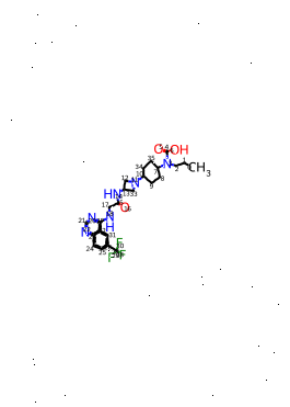 CCCN(C(=O)O)C1CCC(N2CC(NC(=O)CNc3ncnc4ccc(C(F)(F)F)cc34)C2)CC1